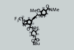 CNC(=O)c1ccc(NCC#Cc2cc(C(=O)N[C@H]3CCN(C(=O)OC(C)(C)C)C[C@@H]3C)c3ncn(CC(F)(F)F)c3c2)c(OC)c1